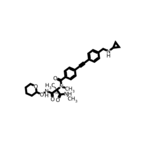 CNC(=O)[C@@](C)(C(=O)NOC1CCCCO1)N(C)C(=O)c1ccc(C#Cc2ccc(CNC3CC3)cc2)cc1